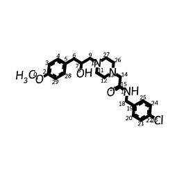 COc1ccc(CC(O)CN2CCN(CC(=O)NCc3ccc(Cl)cc3)CC2)cc1